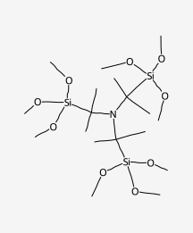 CO[Si](OC)(OC)C(C)(C)N(C(C)(C)[Si](OC)(OC)OC)C(C)(C)[Si](OC)(OC)OC